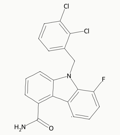 NC(=O)c1cccc2c1c1[c]ccc(F)c1n2Cc1cccc(Cl)c1Cl